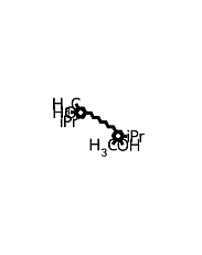 Cc1cc(CCCCCCCc2cc(C)c(O)c(C(C)C)c2)cc(C(C)C)c1O